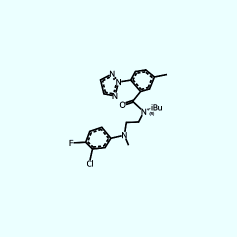 CC[C@@H](C)N(CCN(C)c1ccc(F)c(Cl)c1)C(=O)c1cc(C)ccc1-n1nccn1